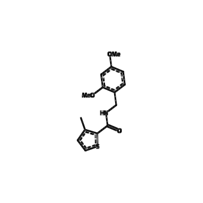 COc1ccc(CNC(=O)c2sccc2C)c(OC)c1